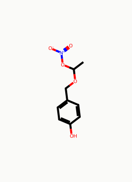 CC(OCc1ccc(O)cc1)O[N+](=O)[O-]